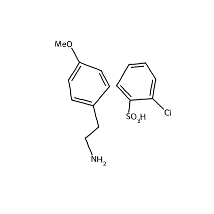 COc1ccc(CCN)cc1.O=S(=O)(O)c1ccccc1Cl